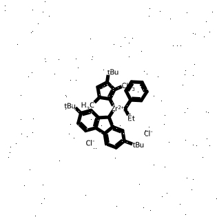 CC/[C](c1ccccc1)=[Zr+2](/[C]1=C(C)C(C(C)(C)C)=CC1C)[CH]1c2cc(C(C)(C)C)ccc2-c2ccc(C(C)(C)C)cc21.[Cl-].[Cl-]